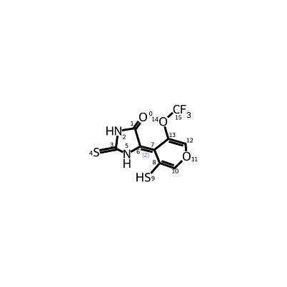 O=C1NC(=S)N/C1=C1\C(S)=COC=C1OC(F)(F)F